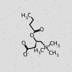 CCCC(=O)O[C@H](CC(=O)[O-])C[N+](C)(C)C